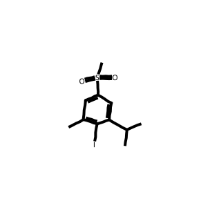 Cc1cc(S(C)(=O)=O)cc(C(C)C)c1I